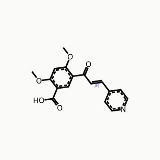 COc1cc(OC)c(C(=O)/C=C/c2ccncc2)cc1C(=O)O